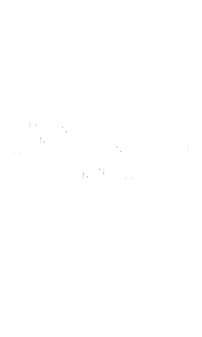 CCn1c(N(C)C)c(-c2cc(NCc3ccc(Cl)s3)n(C(=O)c3cccs3)n2)ccc1=O